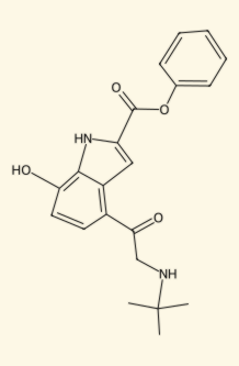 CC(C)(C)NCC(=O)c1ccc(O)c2[nH]c(C(=O)Oc3ccccc3)cc12